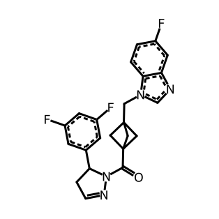 O=C(N1N=CCC1c1cc(F)cc(F)c1)C12CC(Cn3cnc4cc(F)ccc43)(C1)C2